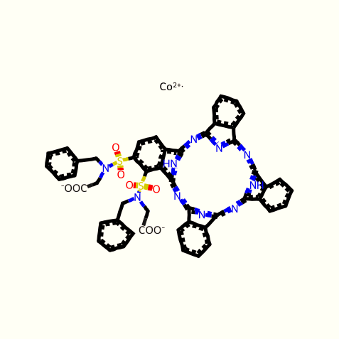 O=C([O-])CN(Cc1ccccc1)S(=O)(=O)c1ccc2c3nc4nc(nc5[nH]c(nc6nc(nc([nH]3)c2c1S(=O)(=O)N(CC(=O)[O-])Cc1ccccc1)-c1ccccc1-6)c1ccccc51)-c1ccccc1-4.[Co+2]